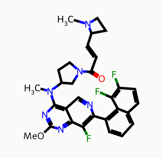 COc1nc(N(C)C2CCN(C(=O)/C=C/C3CCN3C)C2)c2cnc(-c3cccc4ccc(F)c(F)c34)c(F)c2n1